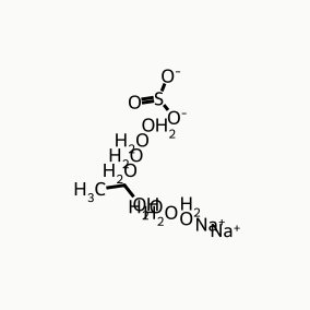 CCO.O.O.O.O.O.O.O.O=S([O-])[O-].[Na+].[Na+]